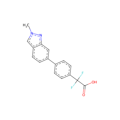 Cn1cc2ccc(-c3ccc(C(F)(F)C(=O)O)cc3)cc2n1